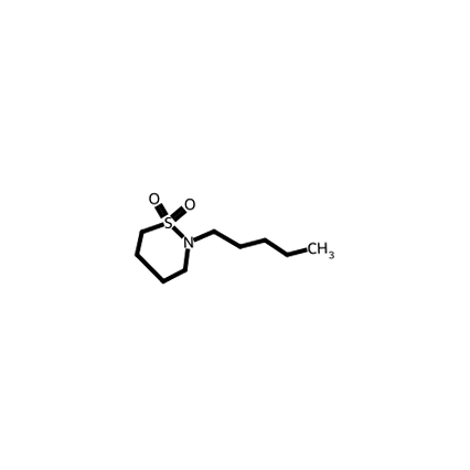 CCCCCN1CCCCS1(=O)=O